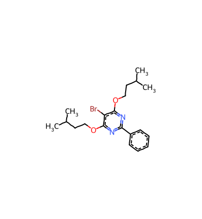 CC(C)CCOc1nc(-c2ccccc2)nc(OCCC(C)C)c1Br